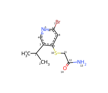 CC(C)c1cnc(Br)cc1SCC(N)=O